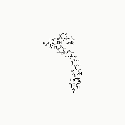 CN1CCN([C@@H]2CCCN(C3CNC(C(N)=O)C(Nc4ccc(C5CCN(CC6CCN(C7CCC(C(=O)N[C@H]8CCC(=O)NC8=O)NC7)CC6)CC5)cc4)N3)C2)C1=O